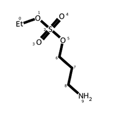 CCOS(=O)(=O)OCCCN